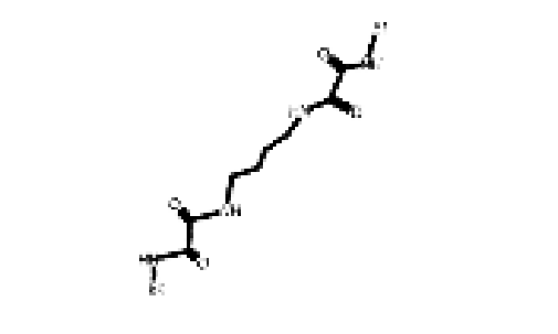 CCNC(=O)C(=O)NCCCCNC(=O)C(=O)NCC